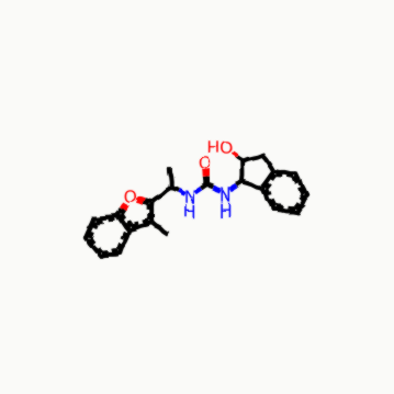 Cc1c(C(C)NC(=O)NC2c3ccccc3CC2O)oc2ccccc12